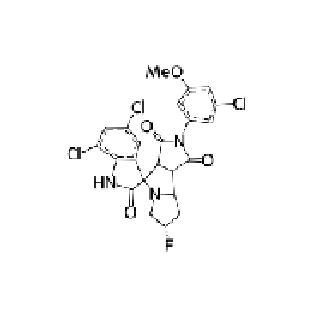 COc1cc(Cl)cc(N2C(=O)C3C4C[C@H](F)CN4C4(C(=O)Nc5c(Cl)cc(Cl)cc54)C3C2=O)c1